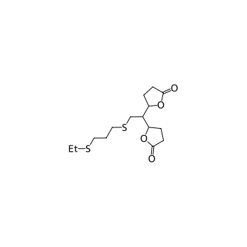 CCSCCCSCC(C1CCC(=O)O1)C1CCC(=O)O1